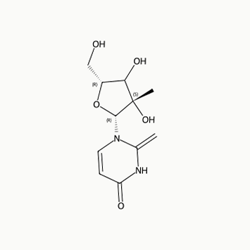 C=C1NC(=O)C=CN1[C@@H]1O[C@H](CO)C(O)[C@]1(C)O